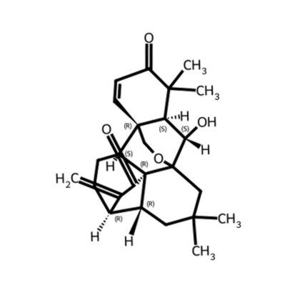 C=C1C(=O)[C@@]23[C@@H]4CC(C)(C)CC25OC[C@]2(C=CC(=O)C(C)(C)[C@H]2[C@@H]5O)[C@@H]3CC[C@@H]14